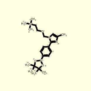 Cc1cn(COCC[Si](C)(C)C)c(-c2ccc(B3OC(C)(C)C(C)(C)O3)cc2)n1